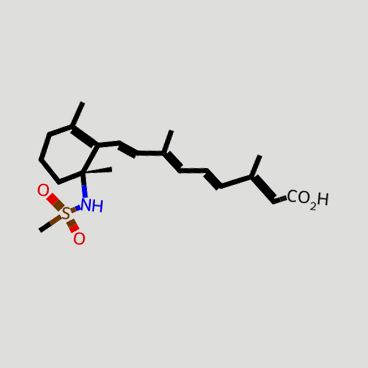 CC1=C(/C=C/C(C)=C/C=C/C(C)=C/C(=O)O)[C@](C)(NS(C)(=O)=O)CCC1